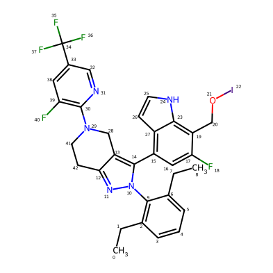 CCc1cccc(CC)c1-n1nc2c(c1-c1cc(F)c(COI)c3[nH]ccc13)CN(c1ncc(C(F)(F)F)cc1F)CC2